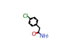 [NH]C(=O)Cc1ccc(Cl)cc1